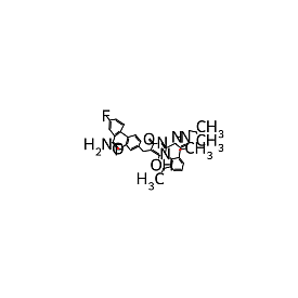 CCc1cccc(CC)c1-n1c(-c2ccn(CC(C)C)n2)nc(=O)c(Cc2ccc(-c3ccc(F)cc3C(N)=O)c(F)c2)c1O